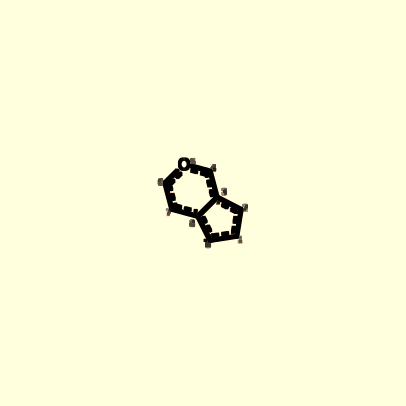 [c]1ccc2coccc1-2